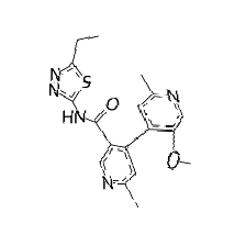 CCc1nnc(NC(=O)c2cnc(C)cc2-c2cc(C)ncc2OC)s1